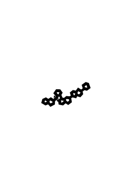 c1ccc(-c2ccc3cc(-c4ccc5ccc6c(c5c4)c4ccccc4n6-c4ccc5ccccc5c4)ccc3c2)cc1